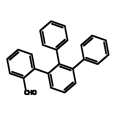 O=Cc1ccccc1-c1cccc(-c2ccccc2)c1-c1ccccc1